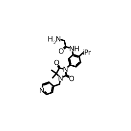 CC(C)c1ccc(N2C(=O)N(Cc3ccncc3)C(C)(C)C2=O)cc1NC(=O)CN